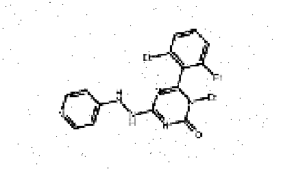 CCc1cccc(CC)c1-c1nc(NNc2ccncc2)nc(=O)n1CC